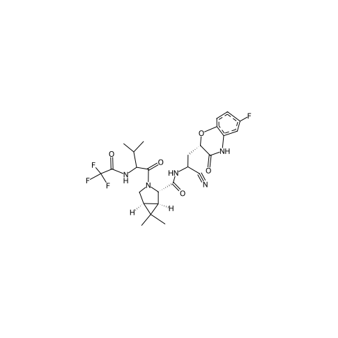 CC(C)C(NC(=O)C(F)(F)F)C(=O)N1C[C@H]2[C@@H]([C@H]1C(=O)NC(C#N)C[C@@H]1Oc3ccc(F)cc3NC1=O)C2(C)C